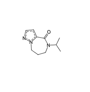 CC(C)N1CCCn2nccc2C1=O